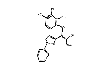 CC(=O)OC(C)C(Nc1ccc(C#N)c(Cl)c1C)c1nnc(-c2ccccc2)o1